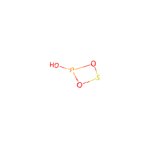 OP1OSO1